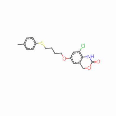 Cc1ccc(SCCCCOc2cc(Cl)c3c(c2)COC(=O)N3)cc1